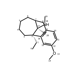 CC[C@@]12CCCCC(Cc3ccc(OC)cc31)[C@H]2NC